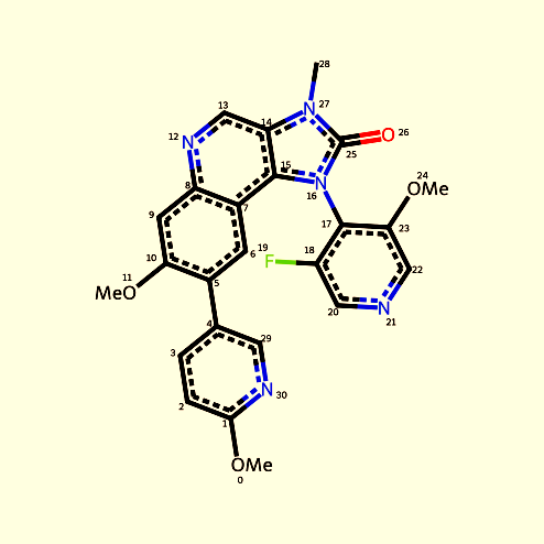 COc1ccc(-c2cc3c(cc2OC)ncc2c3n(-c3c(F)cncc3OC)c(=O)n2C)cn1